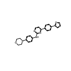 c1coc(-c2ccc(-c3ccnc(Nc4ccc(N5CCOCC5)cc4)n3)cc2)c1